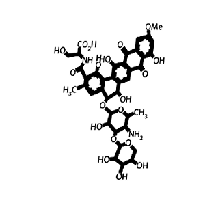 COc1cc(O)c2c(c1)C(=O)c1c(cc3c(c1O)-c1c(cc(C)c(C(=O)NC(CO)C(=O)O)c1O)C(OC1OC(C)C(N)C(OC4OCC(O)C(O)C4O)C1O)C3O)C2=O